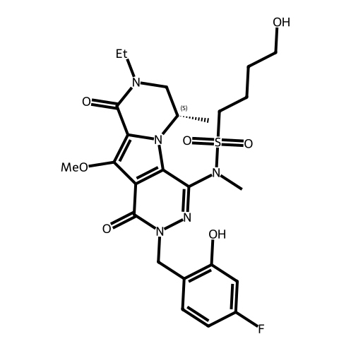 CCN1C[C@H](C)n2c(c(OC)c3c(=O)n(Cc4ccc(F)cc4O)nc(N(C)S(=O)(=O)CCCCO)c32)C1=O